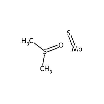 CS(C)=O.[S]=[Mo]